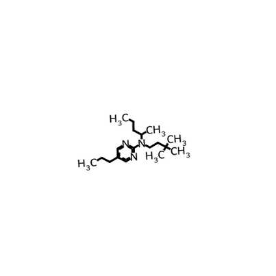 CCCc1cnc(N(CCC(C)(C)C)C(C)CCC)nc1